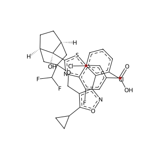 O=C(O)c1cc(F)c2nc([C@@]3(O)[C@@H]4CC[C@H]3CC(OCc3c(-c5c(Cl)cccc5Cl)noc3C3CC3)(C(F)F)C4)sc2c1